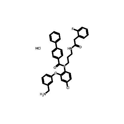 Cl.NCc1cccc(Oc2cc(Cl)ccc2N(CCCNC(=O)Cc2ccccc2F)C(=O)c2ccc(-c3ccccc3)cc2)c1